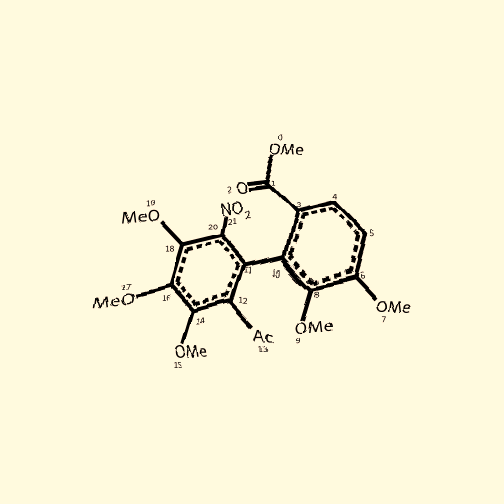 COC(=O)c1ccc(OC)c(OC)c1-c1c(C(C)=O)c(OC)c(OC)c(OC)c1[N+](=O)[O-]